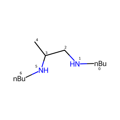 CCCCNCC(C)NCCCC